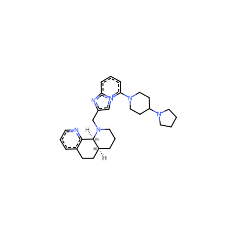 c1cnc2c(c1)CC[C@@H]1CCCN(Cc3cn4c(N5CCC(N6CCCC6)CC5)cccc4n3)[C@H]21